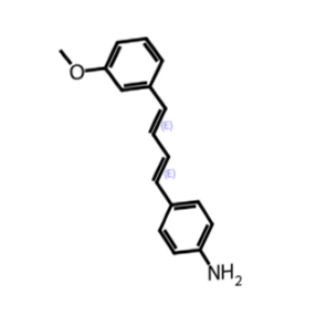 COc1cccc(/C=C/C=C/c2ccc(N)cc2)c1